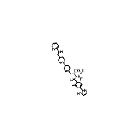 CCc1cc(-c2ncc[nH]2)cc(C)c1C(=O)NC(Cc1ccc(N2CCC(CNc3ccccn3)CC2)cc1)C(=O)O